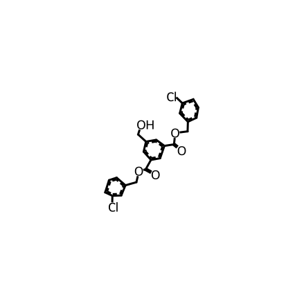 O=C(OCc1cccc(Cl)c1)c1cc(CO)cc(C(=O)OCc2cccc(Cl)c2)c1